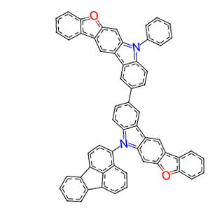 c1ccc(-n2c3ccc(-c4ccc5c(c4)c4cc6c(cc4n5-c4ccc5c7c(cccc47)-c4ccccc4-5)oc4ccccc46)cc3c3cc4c(cc32)oc2ccccc24)cc1